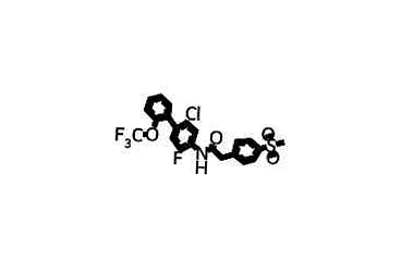 CS(=O)(=O)c1ccc(CC(=O)Nc2cc(Cl)c(-c3ccccc3OC(F)(F)F)cc2F)cc1